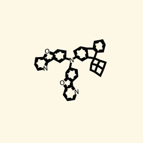 c1ccc2c(c1)-c1ccc(N(c3ccc4c(c3)oc3cccnc34)c3ccc4oc5cccnc5c4c3)cc1C21C2CC3CC4CC1C342